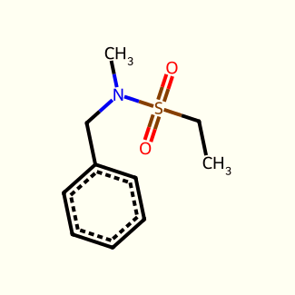 CCS(=O)(=O)N(C)Cc1ccccc1